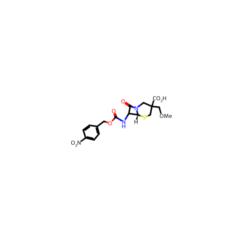 COCC1(C(=O)O)CS[C@@H]2C(NC(=O)OCc3ccc([N+](=O)[O-])cc3)C(=O)N2C1